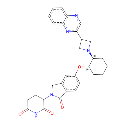 O=C1CCC(N2Cc3cc(O[C@H]4CCCC[C@@H]4N4CC(c5cnc6ccccc6n5)C4)ccc3C2=O)C(=O)N1